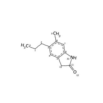 CCCc1cc2c(cc1C)NC(=O)C2